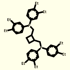 CCc1ccc(P(CC2CCC2CP(c2ccc(CC)c(CC)c2)c2ccc(CC)c(CC)c2)c2ccc(CC)c(CC)c2)cc1CC